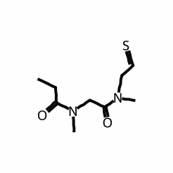 CCC(=O)N(C)CC(=O)N(C)CC=S